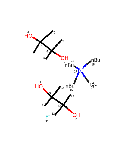 CC(C)(O)C(C)(C)O.CC(C)(O)C(C)(C)O.CCCC[N+](CCCC)(CCCC)CCCC.[F-]